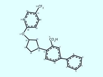 O=C(O)c1cc(-c2ccccc2)ccc1N1CCC(Oc2ccc(C(F)(F)F)cn2)C1